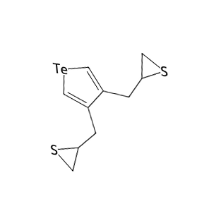 c1[te]cc(CC2CS2)c1CC1CS1